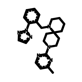 Cc1ccnc(N2CCC3(CCCCN3Cc3ccccc3-n3nccn3)CC2)n1